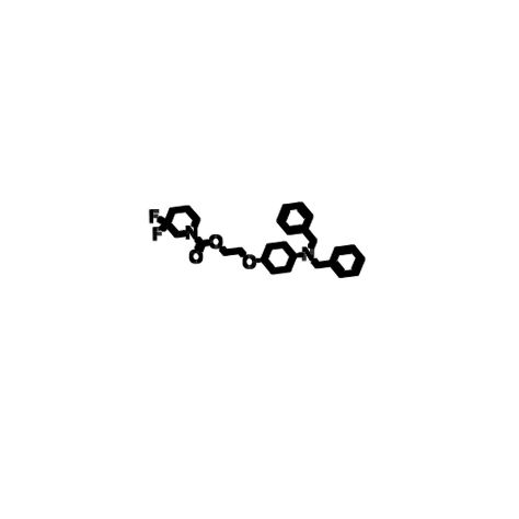 O=C(OCCO[C@H]1CC[C@H](N(Cc2ccccc2)Cc2ccccc2)CC1)N1CCCC(F)(F)C1